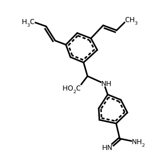 CC=Cc1cc(C=CC)cc(C(Nc2ccc(C(=N)N)cc2)C(=O)O)c1